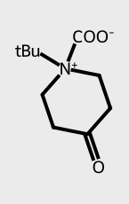 CC(C)(C)[N+]1(C(=O)[O-])CCC(=O)CC1